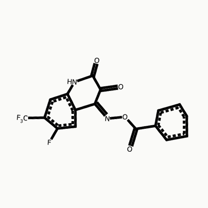 O=C1Nc2cc(C(F)(F)F)c(F)cc2C(=NOC(=O)c2ccccc2)C1=O